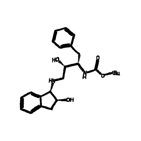 CC(C)(C)OC(=O)N[C@@H](Cc1ccccc1)[C@@H](O)CN[C@@H]1c2ccccc2C[C@@H]1O